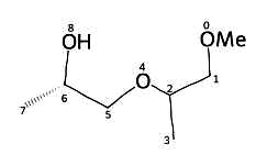 COCC(C)OC[C@H](C)O